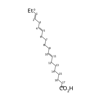 CCC=CCC=CCCCCC=CCCCCCCC(=O)O